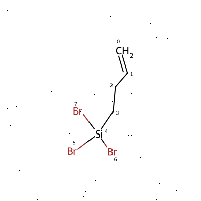 C=CCC[Si](Br)(Br)Br